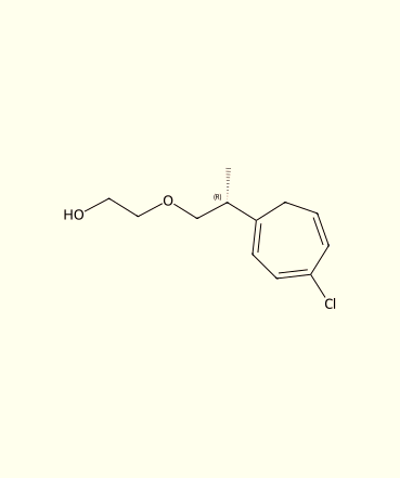 C[C@@H](COCCO)C1=CC=C(Cl)C=CC1